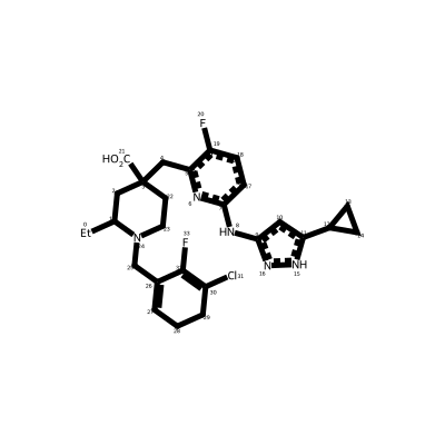 CCC1CC(Cc2nc(Nc3cc(C4CC4)[nH]n3)ccc2F)(C(=O)O)CCN1CC1=CCCC(Cl)=C1F